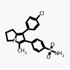 Cc1c(-c2ccc(S(N)(=O)=O)cc2)c(-c2ccc(Cl)cc2)c2n1CCC2